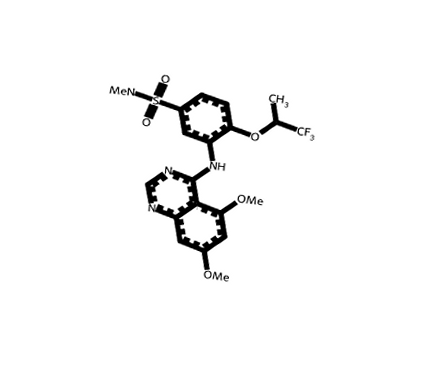 CNS(=O)(=O)c1ccc(OC(C)C(F)(F)F)c(Nc2ncnc3cc(OC)cc(OC)c23)c1